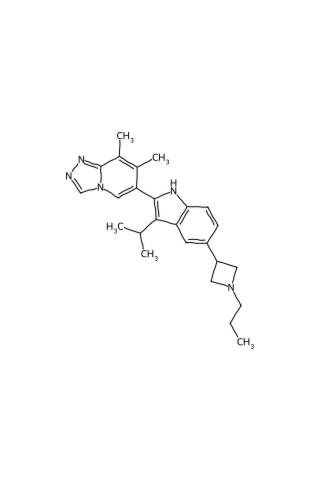 CCCN1CC(c2ccc3[nH]c(-c4cn5cnnc5c(C)c4C)c(C(C)C)c3c2)C1